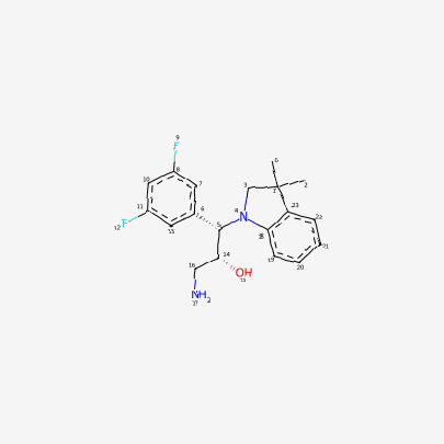 CC1(C)CN([C@@H](c2cc(F)cc(F)c2)[C@H](O)CN)c2ccccc21